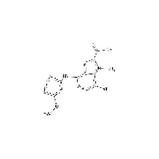 COc1ccnc(Nc2ccc(Cl)c3c2cc(C(=O)O)n3C)c1